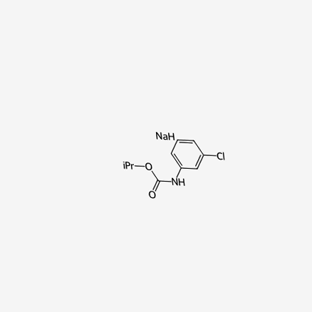 CC(C)OC(=O)Nc1cccc(Cl)c1.[NaH]